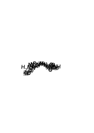 Nc1ncnc2c1c(-c1ccc(Oc3ccccc3)cc1)nn2[C@H]1CCN(C2CN(CC3CN(c4ccc5c(c4)C(=O)N(C4CCC(=O)NC4=O)C5=O)C3)C2)C[C@H]1F